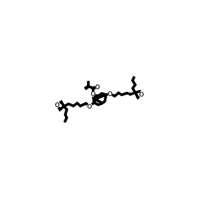 C=C(C)C(=O)OC12CC3CC(OCCCCCC4(CCCC)COC4)(CC(OCCCCCC4(CCCC)COC4)(C3)C1)C2